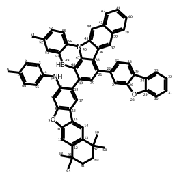 Cc1ccc(Nc2cc3oc4cc5c(cc4c3cc2-c2cc(-c3ccc4c(c3)oc3ccccc34)c3c4cc6ccccc6cc4n4c3c2Bc2cc(C)ccc2-4)C(C)(C)CCC5(C)C)cc1